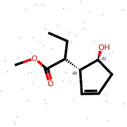 CCC(C(=O)OC)[C@H]1C=CC[C@@H]1O